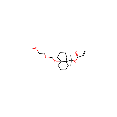 C=CC(=O)OC(C)(C)C12CCCCC1(OCOCCOC)CCCC2